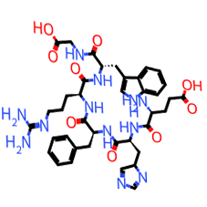 NC(N)=NCCC[C@H](NC(=O)[C@H](Cc1ccccc1)NC(=O)[C@H](CC1C=NC=N1)NC(=O)[C@@H](N)CCC(=O)O)C(=O)N[C@@H](Cc1c[nH]c2ccccc12)C(=O)NCC(=O)O